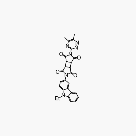 CCn1c2ccccc2c2cc(N3C(=O)C4C(C3=O)C3C(=O)N(c5nnc(C)c(C)n5)C(=O)C43)ccc21